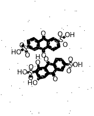 O=C1c2cc(S(=O)(=O)O)ccc2C(=O)c2c1cc(O)c(S(=O)(=O)O)c2O.O=C1c2ccc(S(=O)(=O)O)cc2C(=O)c2ccc(S(=O)(=O)O)cc21